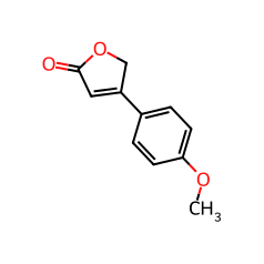 COc1ccc(C2=CC(=O)OC2)cc1